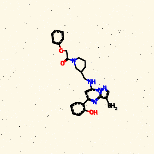 Bc1cnn2c(NCC3CCCN(C(=O)COc4ccccc4)C3)cc(-c3ccccc3O)nc12